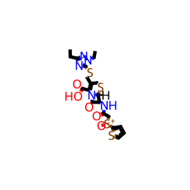 CCc1nc(SCC2=C(C(=O)O)N3C(=O)C(NC(=O)C[S+]([O-])c4cccs4)[C@H]3SC2)n(CC)n1